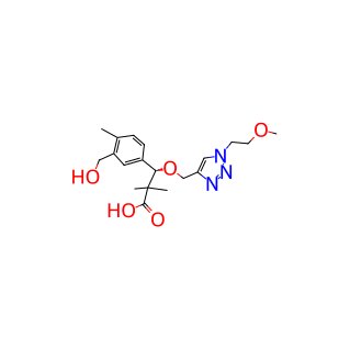 COCCn1cc(CO[C@H](c2ccc(C)c(CO)c2)C(C)(C)C(=O)O)nn1